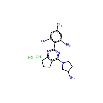 Cl.Cl.Nc1cc(C(F)(F)F)cc(N)c1-c1nc2c(c(N3CCC(N)C3)n1)CCC2